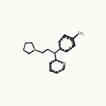 Cc1ccc(C(CCN2CCCC2)c2ccccn2)cc1